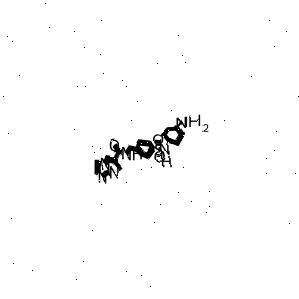 N[C@H]1CC[C@H](NS(=O)(=O)c2ccc(CNC(=O)c3cnc4nccn4c3)cc2)CC1